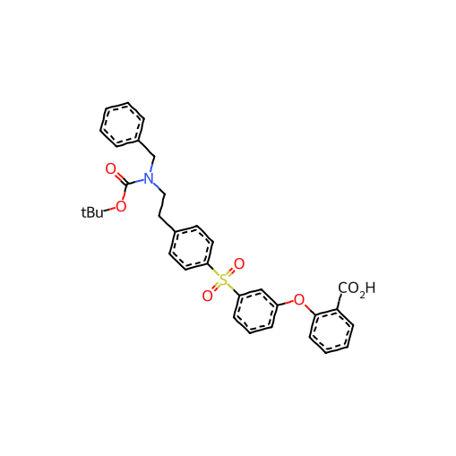 CC(C)(C)OC(=O)N(CCc1ccc(S(=O)(=O)c2cccc(Oc3ccccc3C(=O)O)c2)cc1)Cc1ccccc1